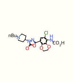 CCCCN1CCC(n2nc(-c3cc(Cl)c(NC(=O)O)c4c3OCCO4)oc2=O)CC1